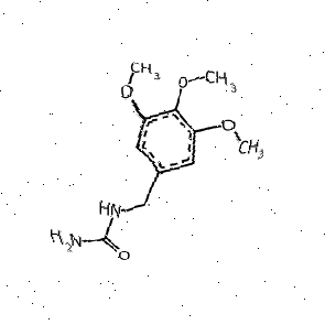 COc1cc([CH]NC(N)=O)cc(OC)c1OC